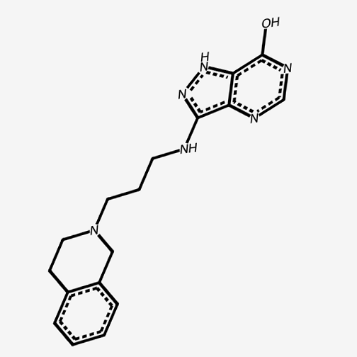 Oc1ncnc2c(NCCCN3CCc4ccccc4C3)n[nH]c12